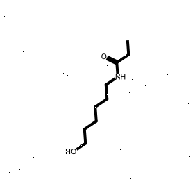 CCC(=O)NCCCCCCO